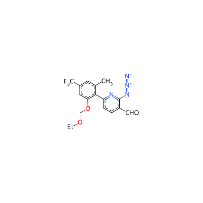 CCOCOc1cc(C(F)(F)F)cc(C)c1-c1ccc(C=O)c(N=[N+]=[N-])n1